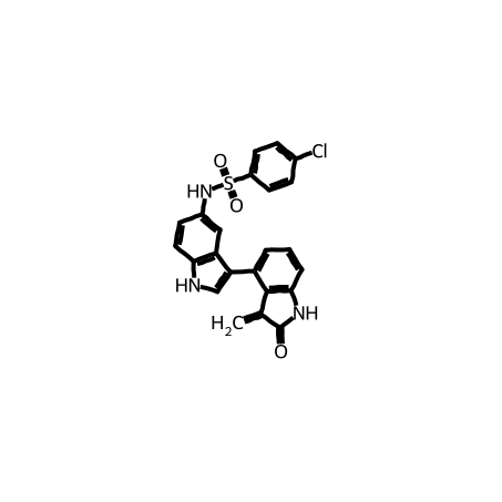 C=C1C(=O)Nc2cccc(-c3c[nH]c4ccc(NS(=O)(=O)c5ccc(Cl)cc5)cc34)c21